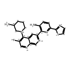 Nc1ccc(-c2nccs2)nc1-c1cc2c(N3CCCC(N)C3)c(F)cnc2cn1